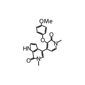 COc1ccc(Oc2c(-c3cn(C)c(=O)c4[nH]ccc34)ccn(C)c2=O)cc1